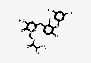 Cc1cc(Cc2ccc(Cl)c(Oc3cc(C#N)cc(C#N)c3)c2F)nn(COC(=O)C(N)C(C)C)c1=O